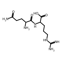 N=C(N)NCCCC(NC(=O)C(N)CCC(N)=O)C(=O)O